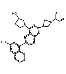 C=CC(=O)N1CC(c2nc(N3CCC(O)C3)c3cc(-c4cc(O)cc5ccccc45)ccc3n2)C1